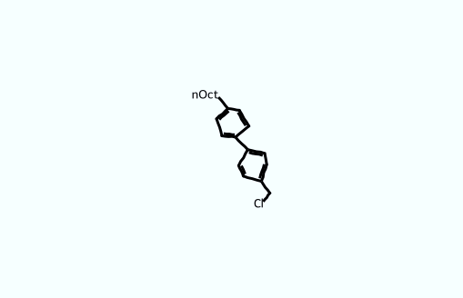 CCCCCCCCc1ccc(-c2ccc(CCl)cc2)cc1